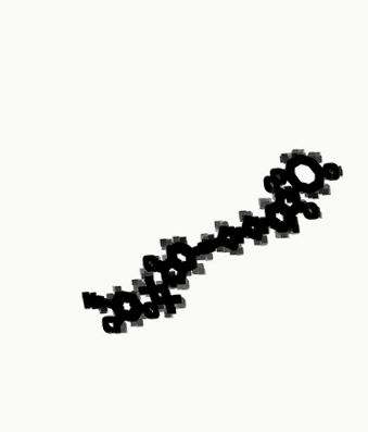 CC1(C)[C@H](Oc2ccc(C#N)c(Cl)c2)C(C)(C)[C@H]1N1Cc2cc(C#CC3CN(C4CN(c5cnc6c(c5)C(=O)N(C5CCC(=O)CCCC5=O)C6=O)C4)C3)ccc2C1=O